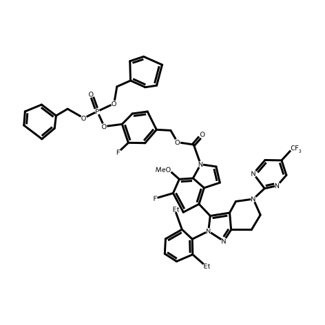 CCc1cccc(CC)c1-n1nc2c(c1-c1cc(F)c(OC)c3c1ccn3C(=O)OCc1ccc(OP(=O)(OCc3ccccc3)OCc3ccccc3)c(F)c1)CN(c1ncc(C(F)(F)F)cn1)CC2